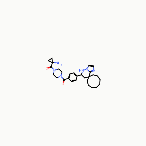 NC1(C(=O)N2CCN(C(=O)c3ccc(C4CC5(CCCCCCCC5)c5nccn5N4)cc3)CC2)CC1